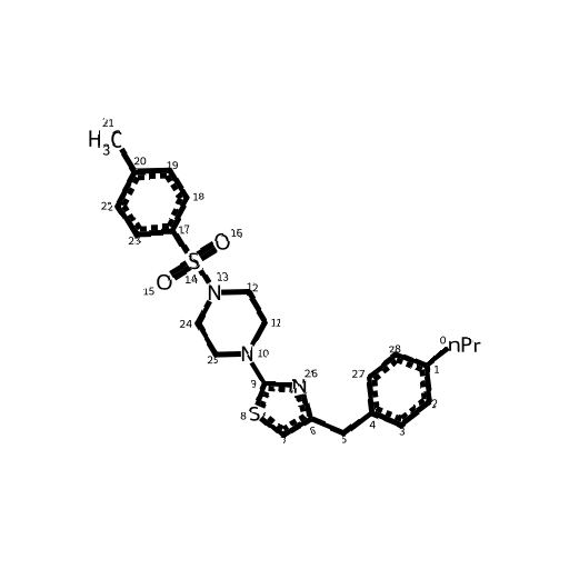 CCCc1ccc(Cc2csc(N3CCN(S(=O)(=O)c4ccc(C)cc4)CC3)n2)cc1